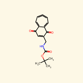 CC(C)(C)OC(=O)NCC1=CC(=O)C2=CC=C=CC=C2C1=O